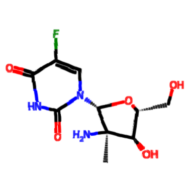 C[C@@]1(N)[C@H](O)[C@@H](CO)O[C@H]1n1cc(F)c(=O)[nH]c1=O